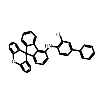 Clc1cc(-c2ccccc2)ccc1Nc1cccc2c1-c1ccccc1C21c2ccccc2Oc2ccccc21